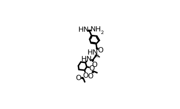 CC(=O)OC1CCCC(NC(=O)[C@H](C)NC(=O)c2ccc(C(=N)N)cc2)C1OC(C)=O